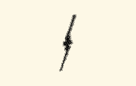 CCCCCCCCCCCCCCCCCCc1ccc2c(c1)sc1c2c2cccc3c2c1c1cccc2c4c5ccc(CCCCCCCCCCCCCCCCCC)cc5sc4c3c21